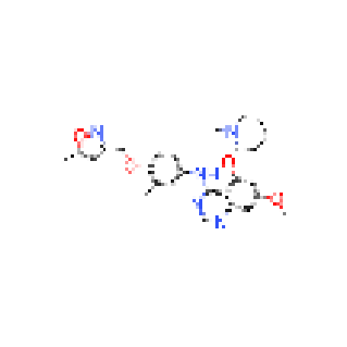 COc1cc(OC2CCCCN2C)c2c(Nc3ccc(OCc4cc(C)on4)c(C)c3)ncnc2c1